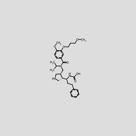 COCCCOc1cc(C(=O)N(C[C@@H]2CNC[C@H]2[C@H](CCc2ccccc2)NC(=O)O)C(C)C)ccc1OC